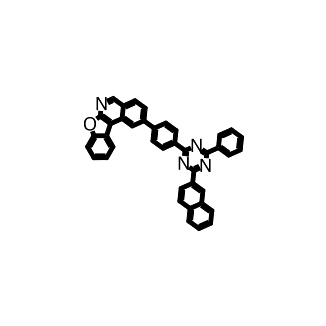 c1ccc(-c2nc(-c3ccc(-c4ccc5cnc6oc7ccccc7c6c5c4)cc3)nc(-c3ccc4ccccc4c3)n2)cc1